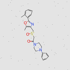 Cc1ccccc1-c1nc(C[S+]([O-])CC(=O)N2CCN(c3ccccc3)CC2)c(C)o1